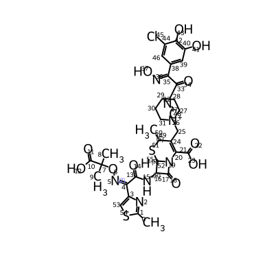 Cc1nc(/C(=N/OC(C)(C)C(=O)O)C(=O)N[C@@H]2C(=O)N3C(C(=O)O)=C(C[N+]45CCC(CC4)N(C(=O)C(=NO)c4cc(O)c(O)c(Cl)c4)CC5)[C@H](C)S[C@H]23)cs1